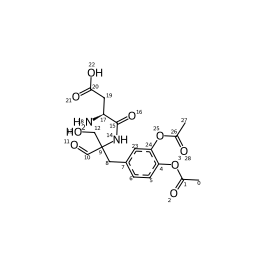 CC(=O)Oc1ccc(CC(C=O)(CO)NC(=O)[C@@H](N)CC(=O)O)cc1OC(C)=O